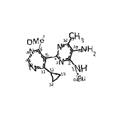 CC[C@H](C)Nc1nc(-c2c(OC)ncnc2C2CC2)nc(C)c1N